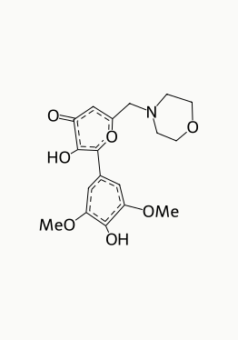 COc1cc(-c2oc(CN3CCOCC3)cc(=O)c2O)cc(OC)c1O